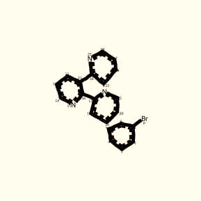 Brc1ccccc1.c1ccc(-c2cccnc2-c2ccccn2)nc1